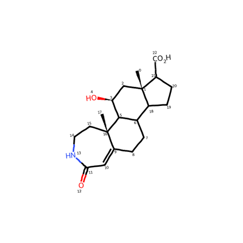 C[C@]12C[C@H](O)C3C(CCC4=CC(=O)NCC[C@@]43C)C1CCC2C(=O)O